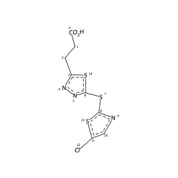 O=C(O)CCc1nnc(Sc2ncc(Cl)s2)s1